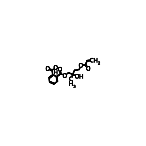 C=CC(=O)OCCC(C)(O)COC(=O)c1ccccc1C(=O)O